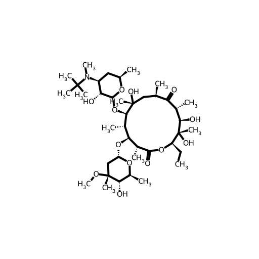 CC[C@H]1OC(=O)[C@H](C)[C@@H](O[C@H]2C[C@@](C)(OC)[C@@H](O)[C@H](C)O2)[C@H](C)[C@@H](O[C@@H]2O[C@H](C)C[C@H](N(C)C(C)(C)C)[C@H]2O)[C@](C)(O)C[C@@H](C)C(=O)[C@H](C)[C@@H](O)[C@]1(C)O